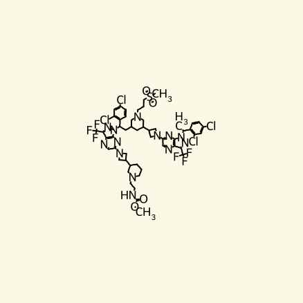 COC(=O)NCCN1CCCC(C2CN(c3cnc4c(C(F)(F)F)nn(C(CC5CC(C6CN(c7cnc8c(C(F)(F)F)nn(C(C)c9ccc(Cl)cc9Cl)c8n7)C6)CN(CCCS(C)(=O)=O)C5)c5ccc(Cl)cc5Cl)c4n3)C2)C1